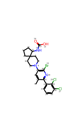 Cc1cc(N2CCC3(CCCC3NC(=O)O)CC2)c(Br)nc1-c1cccc(Cl)c1Cl